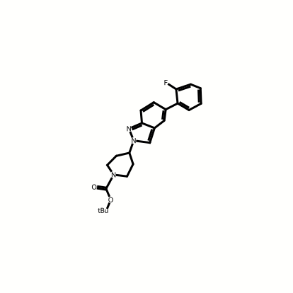 CC(C)(C)OC(=O)N1CCC(n2cc3cc(-c4ccccc4F)ccc3n2)CC1